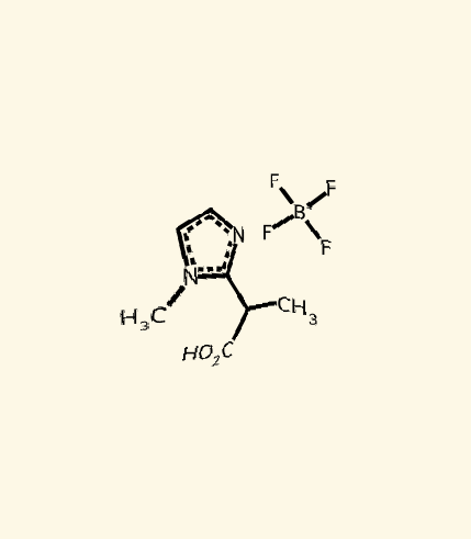 CC(C(=O)O)c1nccn1C.F[B-](F)(F)F